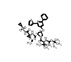 C=C[C@@H]1C[C@]1(NC(=O)[C@@H]1C[C@@H](Oc2cc(-c3ccccc3)nc(-c3cccs3)c2)CN1C(=O)[C@@H](NC(=O)OC(C)(C)C)C(C)(C)C)C(=O)NS(=O)(=O)C1CC1